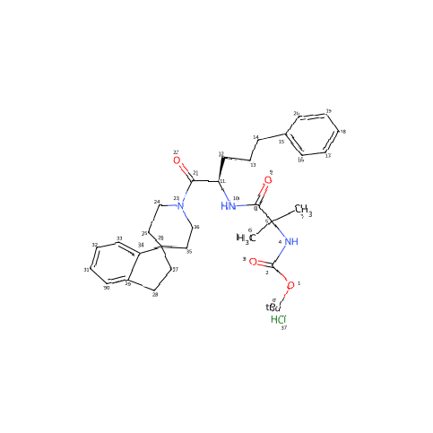 CC(C)(C)OC(=O)NC(C)(C)C(=O)N[C@H](CCCc1ccccc1)C(=O)N1CCC2(CCc3ccccc32)CC1.Cl